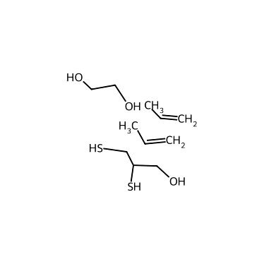 C=CC.C=CC.OCC(S)CS.OCCO